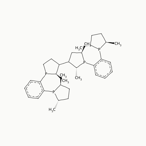 C[C@@H]1C(C2C[C@@H](C)P(c3ccccc3P3[C@H](C)CC[C@H]3C)[C@@H]2C)CCP1c1ccccc1P1[C@@H](C)CC[C@@H]1C